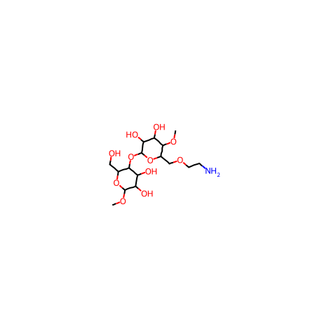 COC1OC(CO)C(OC2OC(COCCN)C(OC)C(O)C2O)C(O)C1O